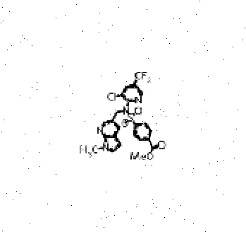 COC(=O)c1ccc(S(=O)(=O)N(Cc2cnc3c(ccn3C)c2)c2ncc(C(F)(F)F)cc2Cl)cc1